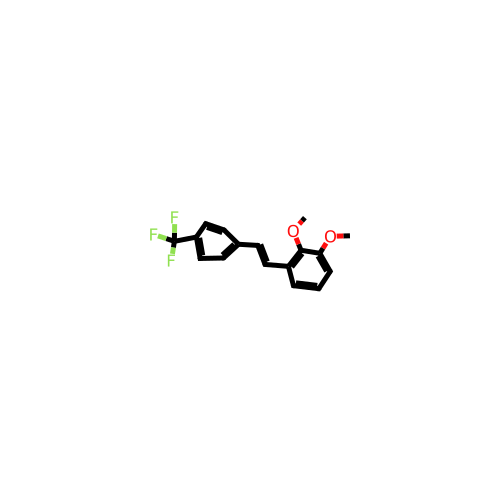 COc1cccc(C=Cc2ccc(C(F)(F)F)cc2)c1OC